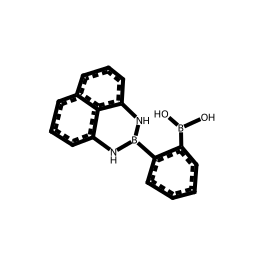 OB(O)c1ccccc1B1Nc2cccc3cccc(c23)N1